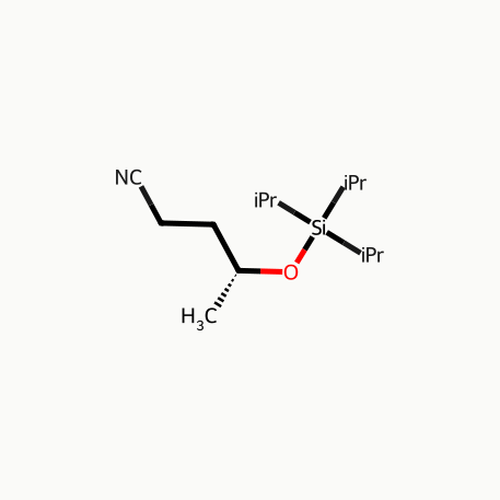 CC(C)[Si](O[C@H](C)CCC#N)(C(C)C)C(C)C